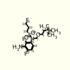 C[Si](C)(C)CCOCN(c1ccc(F)c(N)c1F)S(=O)(=O)CCCF